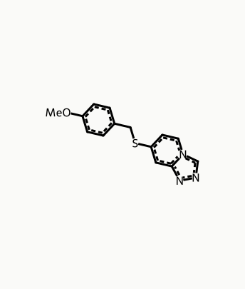 COc1ccc(CSc2ccn3cnnc3c2)cc1